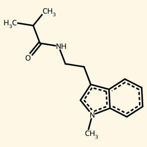 CC(C)C(=O)NCCc1cn(C)c2ccccc12